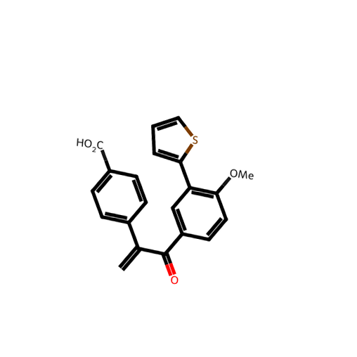 C=C(C(=O)c1ccc(OC)c(-c2cccs2)c1)c1ccc(C(=O)O)cc1